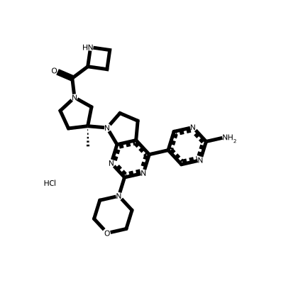 C[C@]1(N2CCc3c(-c4cnc(N)nc4)nc(N4CCOCC4)nc32)CCN(C(=O)C2CCN2)C1.Cl